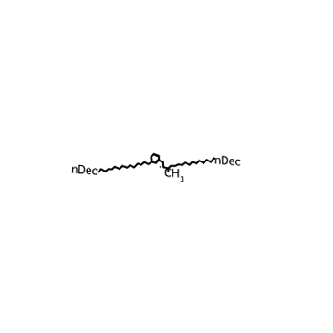 CCCCCCCCCCCCCCCCCCCCCCCCCc1cccc(C[CH]C(C)CCCCCCCCCCCCCCCCCCCCCCC)c1